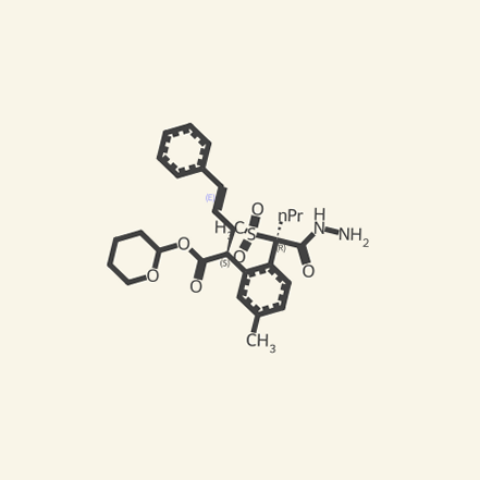 CCC[C@](C(=O)NN)(c1ccc(C)cc1[C@H](C/C=C/c1ccccc1)C(=O)OC1CCCCO1)S(C)(=O)=O